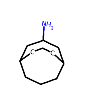 NC1CC2CCCC(CCC2)C1